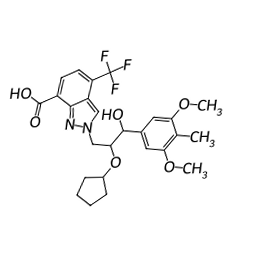 COc1cc(C(O)C(Cn2cc3c(C(F)(F)F)ccc(C(=O)O)c3n2)OC2CCCC2)cc(OC)c1C